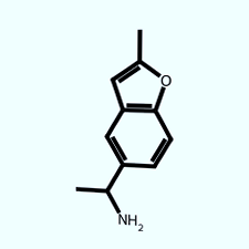 Cc1cc2cc(C(C)N)ccc2o1